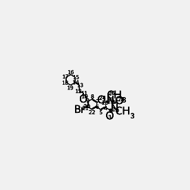 CN1C(=O)C(=Cc2ccc(OCCCC3CCCCC3)c(Br)c2)C(=O)N(C)C1=O